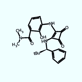 CN(C)C(=O)c1cccc(Nc2c(N[C@@H](c3ccccc3)C(C)(C)C)c(=O)c2=O)c1O